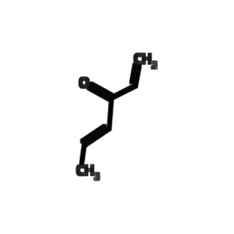 C=CC(=O)C=CC